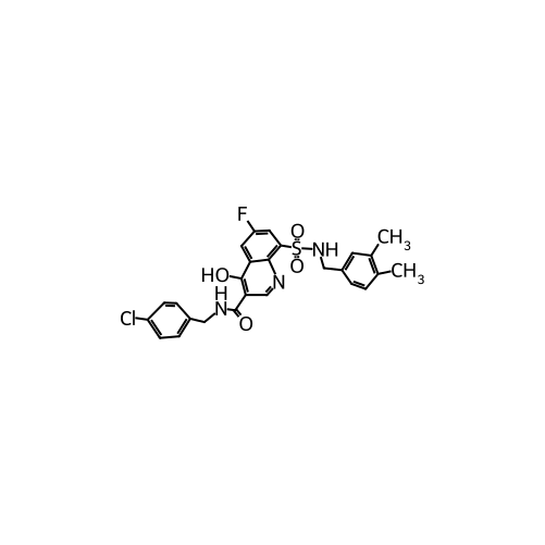 Cc1ccc(CNS(=O)(=O)c2cc(F)cc3c(O)c(C(=O)NCc4ccc(Cl)cc4)cnc23)cc1C